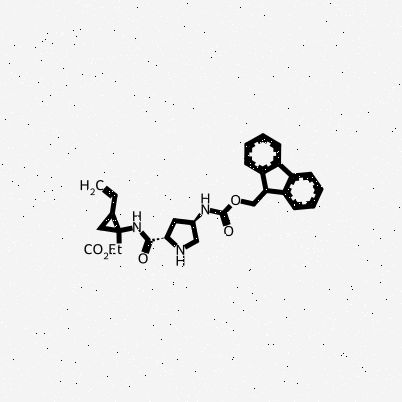 C=CC1CC1(NC(=O)[C@@H]1C[C@@H](NC(=O)OCC2c3ccccc3-c3ccccc32)CN1)C(=O)OCC